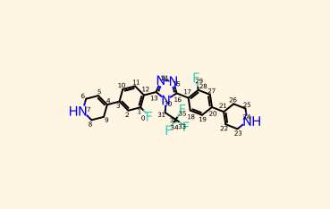 Fc1cc(C2=CCNCC2)ccc1-c1nnc(-c2ccc(C3=CCNCC3)cc2F)n1CC(F)(F)F